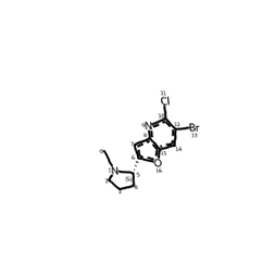 CN1CCC[C@H]1c1cc2nc(Cl)c(Br)cc2o1